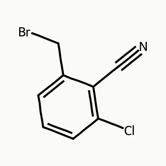 N#Cc1c(Cl)cccc1CBr